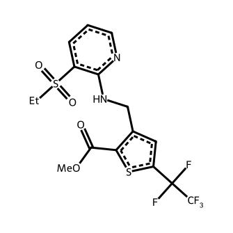 CCS(=O)(=O)c1cccnc1NCc1cc(C(F)(F)C(F)(F)F)sc1C(=O)OC